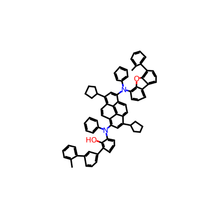 Cc1ccccc1-c1cccc(-c2cccc(N(c3ccccc3)c3cc(C4CCCC4)c4ccc5c(N(c6ccccc6)c6cccc7c6oc6c(-c8ccccc8C)cccc67)cc(C6CCCC6)c6ccc3c4c65)c2O)c1